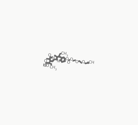 C#CCOCCOCCOC(=O)Oc1ccc2nc3c(c(CC)c2c1)Cn1c-3cc2c(c1=O)COC(=O)[C@]2(O)CC